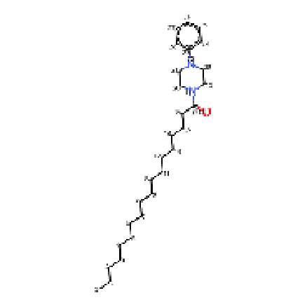 CCCCCCCCCCCCCCCCCC(=O)N1CCN(c2ccccc2)CC1